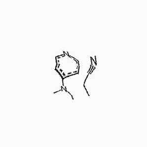 CCC#N.CN(C)c1ccncc1